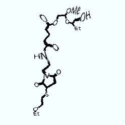 CCOCCSC1CC(=O)N(CCNC(=O)CCCC(=O)OCC(OC)OC(CC)CO)C1=O